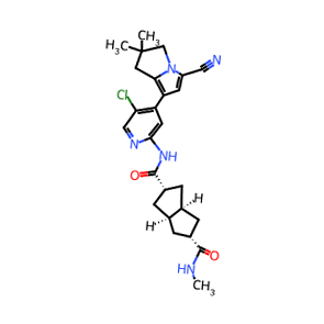 CNC(=O)[C@H]1C[C@@H]2C[C@@H](C(=O)Nc3cc(-c4cc(C#N)n5c4CC(C)(C)C5)c(Cl)cn3)C[C@@H]2C1